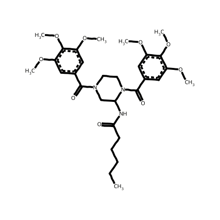 CCCCCC(=O)NC1CN(C(=O)c2cc(OC)c(OC)c(OC)c2)CCN1C(=O)c1cc(OC)c(OC)c(OC)c1